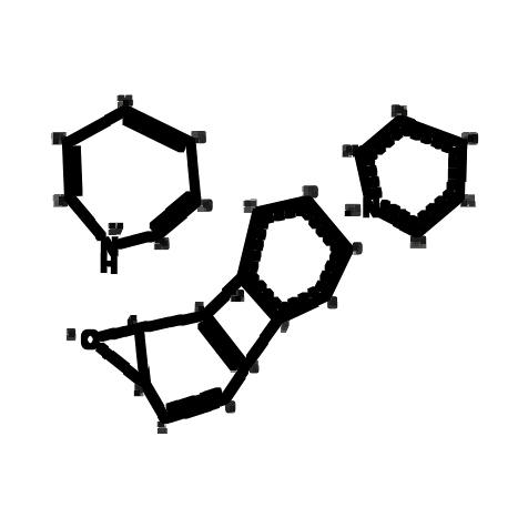 C1=CC2OC2C2=C1c1ccccc12.C1=CC=CNC=C1.c1ccncc1